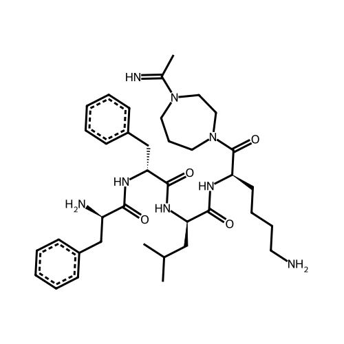 CC(=N)N1CCCN(C(=O)[C@@H](CCCCN)NC(=O)[C@@H](CC(C)C)NC(=O)[C@@H](Cc2ccccc2)NC(=O)[C@H](N)Cc2ccccc2)CC1